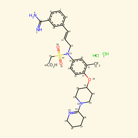 Cl.Cl.N=C(N)c1cccc(/C=C/CN(c2ccc(OC3CCN(C4=NCCCC4)CC3)c(C(F)(F)F)c2)S(=O)(=O)CC(=O)O)c1